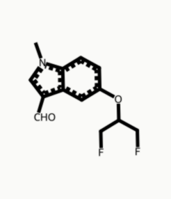 Cn1cc(C=O)c2cc(OC(CF)CF)ccc21